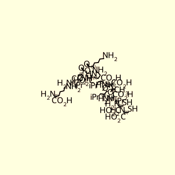 CC(C)C[C@H](N)C(=O)O.CC(C)C[C@H](N)C(=O)O[C@H](C)[C@H](N)C(=O)O.CC(C)[C@H](N)C(=O)O.CC(C)[C@H](N)C(=O)O.NCCCC[C@H](N)C(=O)O.NCCCC[C@H](N)C(=O)OC(=O)[C@@H]1CCCN1.N[C@@H](CS)C(=O)O.N[C@@H](CS)C(=O)O.O=C(O)[C@@H]1CCCN1